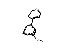 Cc1cccc(C2=CC[N]CC2)c1